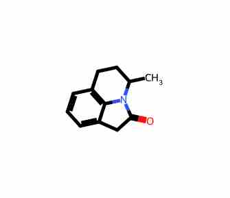 CC1CCc2cccc3c2N1C(=O)C3